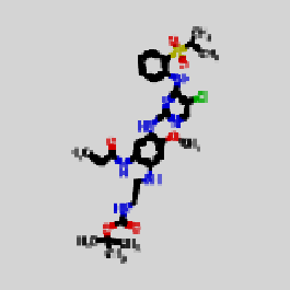 C=CC(=O)Nc1cc(Nc2ncc(Cl)c(Nc3ccccc3S(=O)(=O)C(C)C)n2)c(OC)cc1NCCNC(=O)OC(C)(C)C